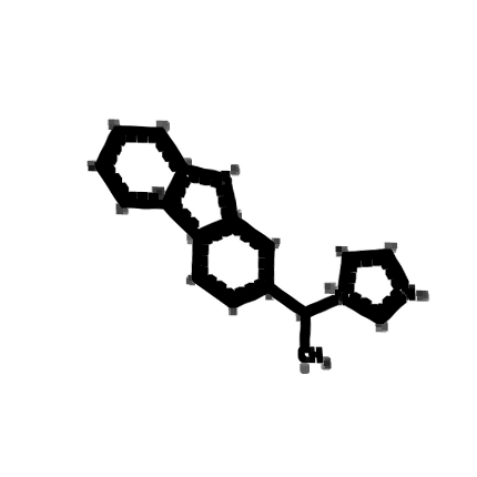 CC(c1ccc2c(c1)sc1ccccc12)n1ccnc1